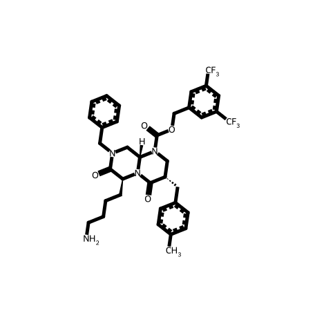 Cc1ccc(C[C@H]2CN(C(=O)OCc3cc(C(F)(F)F)cc(C(F)(F)F)c3)[C@H]3CN(Cc4ccccc4)C(=O)[C@H](CCCCN)N3C2=O)cc1